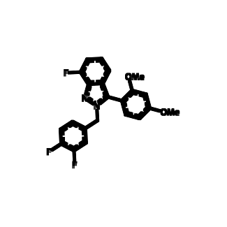 COc1ccc(-c2c3cccc(F)c3nn2Cc2ccc(F)c(F)c2)c(OC)c1